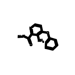 CNC(=O)c1nccc(Oc2ccccc2)c1N